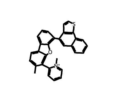 Cc1ccc2c(oc3c(-c4cc5ccccc5c5sccc45)cccc32)c1-c1cccc[n+]1C